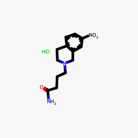 Cl.NC(=O)CCCN1CCc2ccc([N+](=O)[O-])cc2C1